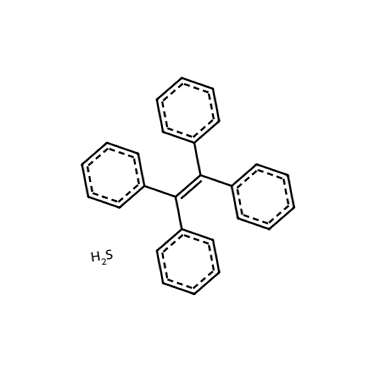 S.c1ccc(C(=C(c2ccccc2)c2ccccc2)c2ccccc2)cc1